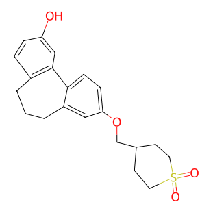 O=S1(=O)CCC(COc2ccc3c(c2)CCCc2ccc(O)cc2-3)CC1